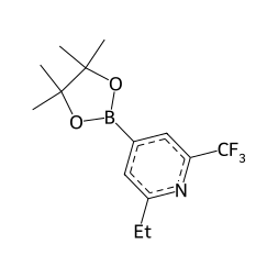 CCc1cc(B2OC(C)(C)C(C)(C)O2)cc(C(F)(F)F)n1